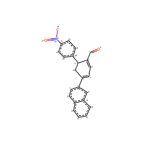 O=CC1=CC=C(c2ccc3ccccc3c2)CC1c1ccc([N+](=O)[O-])cc1